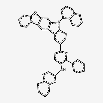 c1ccc(-c2cc(-c3ccc4c(c3)c3cc5c(cc3n4-c3cccc4ccccc34)oc3ccccc35)ccc2Nc2ccc3ccccc3c2)cc1